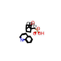 CC1(C)C2CCC1(CS(=O)(=O)O)C(=O)C2.c1ccc2ncccc2c1